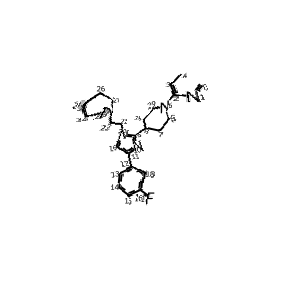 C=N/C(=C\C)N1CCC(c2nc(-c3cccc(F)c3)cn2CCN2CCCC2)CC1